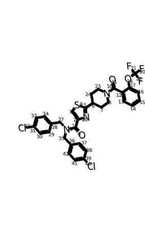 O=C(c1csc(C2CCN(C(=O)c3ccccc3OC(F)(F)F)CC2)n1)N(Cc1ccc(Cl)cc1)Cc1ccc(Cl)cc1